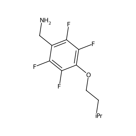 CC(C)CCOc1c(F)c(F)c(CN)c(F)c1F